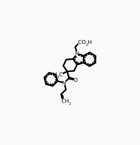 C=CCN(C(=O)C1(C)CCc2c(c3ccccc3n2CC(=O)O)C1)c1ccccc1